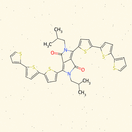 CC(C)CN1C(=O)C2=C(c3ccc(-c4ccc(-c5cccs5)s4)s3)N(CC(C)C)C(=O)C2=C1c1ccc(-c2ccc(-c3cccs3)s2)s1